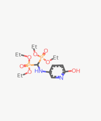 CCOP(=O)(OCC)C(Nc1ccc(O)nc1)P(=O)(OCC)OCC